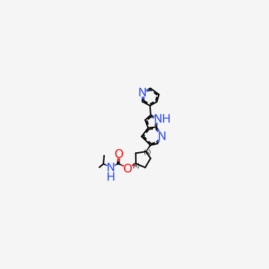 CC(C)NC(=O)O[C@@H]1CC[C@H](c2cnc3[nH]c(-c4cccnc4)cc3c2)C1